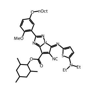 [C-]#[N+]C1=C(C(=O)OC2C(C)CC(C)CC2C)c2nc(-c3cc(OCCCCCCCC)ccc3OC)nn2/C1=N/c1ccc(N(CC)CC)s1